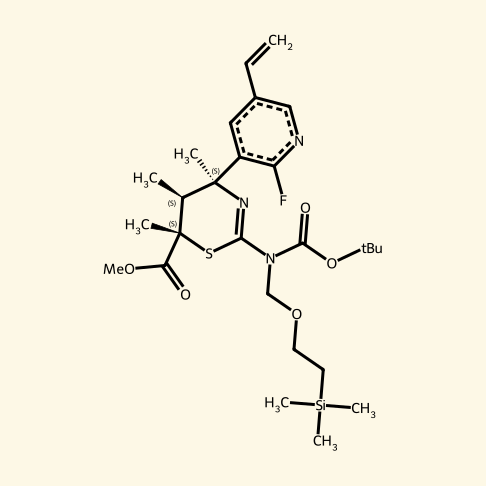 C=Cc1cnc(F)c([C@@]2(C)N=C(N(COCC[Si](C)(C)C)C(=O)OC(C)(C)C)S[C@](C)(C(=O)OC)[C@H]2C)c1